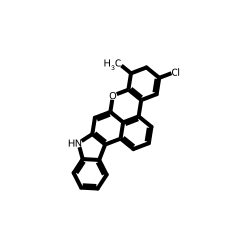 CC1CC(Cl)=CC2=C1Oc1cc3[nH]c4ccccc4c3c3cccc2c13